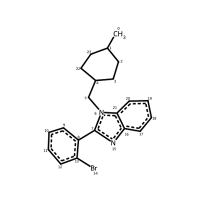 CC1CCC(Cn2c(-c3ccccc3Br)nc3ccccc32)CC1